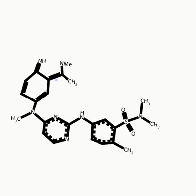 CN/C(C)=C1/C=C(N(C)c2ccnc(Nc3ccc(C)c(S(=O)(=O)N(C)C)c3)n2)C=CC1=N